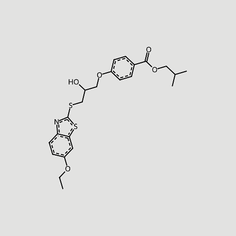 CCOc1ccc2nc(SCC(O)COc3ccc(C(=O)OCC(C)C)cc3)sc2c1